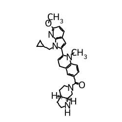 COc1ccc2cc(C3=CCc4cc(C(=O)N5CC[C@H]6CCN[C@H]6C5)ccc4N3C)n(CC3CC3)c2n1